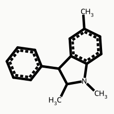 Cc1ccc2c(c1)C(c1ccccc1)C(C)N2C